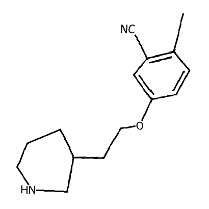 Cc1ccc(OCCC2CCCNC2)cc1C#N